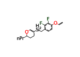 C=COc1ccc(C[SiH2]C2=COC(CCC)CC2)c(F)c1F